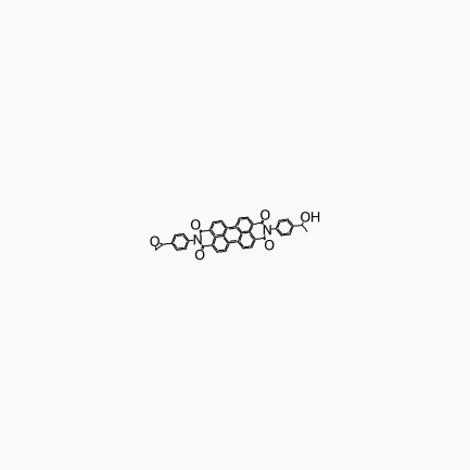 CC(O)c1ccc(N2C(=O)c3ccc4c5ccc6c7c(ccc(c8ccc(c3c48)C2=O)c75)C(=O)N(c2ccc(C3CO3)cc2)C6=O)cc1